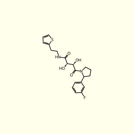 O=C(NCCc1cccs1)[C@H](O)[C@@H](O)C(=O)N1CCCC1c1cccc(F)c1